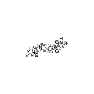 Cc1ccc2nc(CN3CCC(c4ccc5c(c4)CN(C4CCC(=O)NC4=O)C5=O)CC3)cc(=O)n2c1